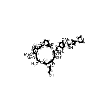 CO[C@H]1C[C@@H](C)C/C(C)=C/[C@@H](C/C=C/CO)C(=O)C[C@H](O)[C@@H](C)[C@@H](/C(C)=C/[C@@H]2CC[C@@H](OC(O)N3CC(N4CCOCC4)C3)[C@H](OC)C2)OC(=O)[C@@H]2CCCCN2C(=O)C(=O)[C@]2(O)O[C@H]1[C@@H](OC)C[C@H]2C